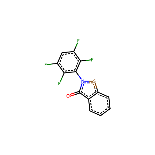 O=c1c2ccccc2sn1-c1c(F)c(F)cc(F)c1F